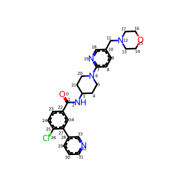 O=C(NC1CCN(c2ccc(CN3CCOCC3)cn2)CC1)c1ccc(Cl)c(-c2cccnc2)c1